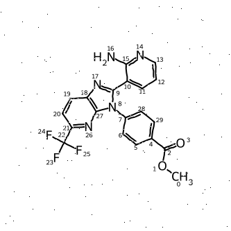 COC(=O)c1ccc(-n2c(-c3cccnc3N)nc3ccc(C(F)(F)F)nc32)cc1